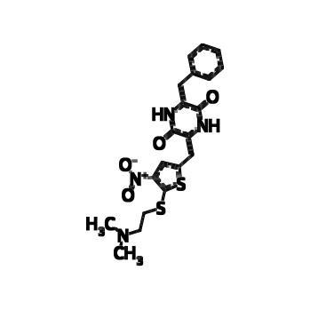 CN(C)CCSc1sc(C=c2[nH]c(=O)c(=Cc3ccccc3)[nH]c2=O)cc1[N+](=O)[O-]